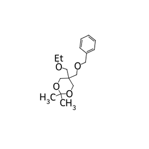 CCOCC1(COCc2ccccc2)COC(C)(C)OC1